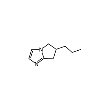 CCCC1Cc2nccn2C1